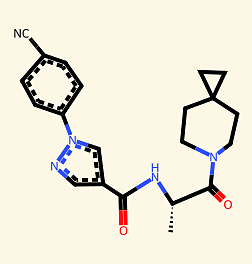 C[C@H](NC(=O)c1cnn(-c2ccc(C#N)cc2)c1)C(=O)N1CCC2(CC1)CC2